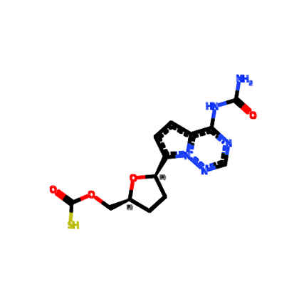 NC(=O)Nc1ncnn2c([C@H]3CC[C@@H](COC(=O)S)O3)ccc12